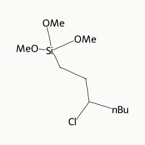 CCCCC(Cl)CC[Si](OC)(OC)OC